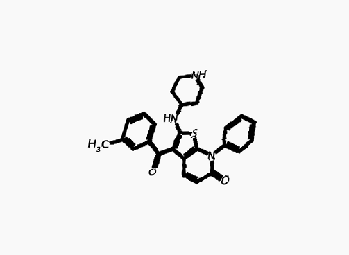 Cc1cccc(C(=O)c2c(NC3CCNCC3)sc3c2ccc(=O)n3-c2ccccc2)c1